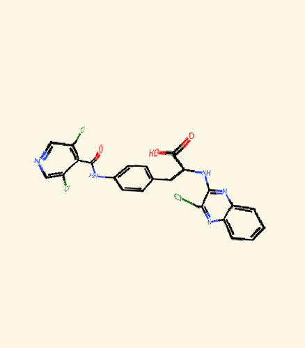 O=C(Nc1ccc(CC(Nc2nc3ccccc3nc2Cl)C(=O)O)cc1)c1c(Cl)cncc1Cl